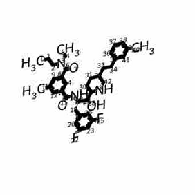 CCCN(CC)C(=O)c1cc(C)cc(C(=O)N[C@@H](Cc2cc(F)cc(F)c2)[C@H](O)C2CCC(CCc3cccc(C)c3)CN2)c1